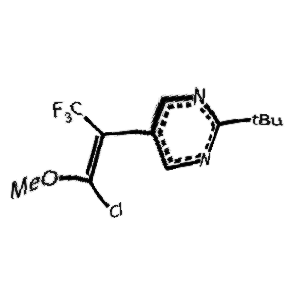 COC(Cl)=C(c1cnc(C(C)(C)C)nc1)C(F)(F)F